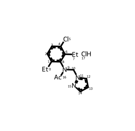 CCc1ccc(Cl)c(CC)c1N(Cn1cccn1)C(C)=O.Cl